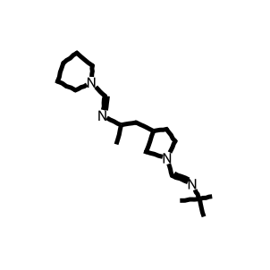 CC(CC1CCN(/C=N/C(C)(C)C)C1)/N=C/N1CCCCC1